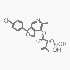 C=C(C)[C@H](ON(O)O)C(=O)Oc1c(C)ncc2c1COC2c1ccc(Cl)cc1